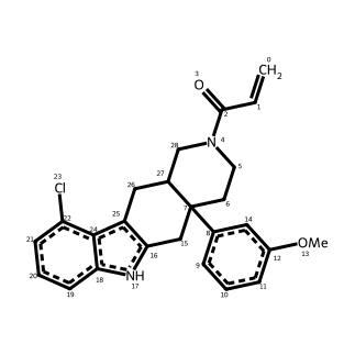 C=CC(=O)N1CCC2(c3cccc(OC)c3)Cc3[nH]c4cccc(Cl)c4c3CC2C1